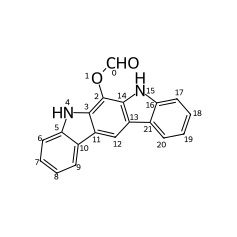 O=COc1c2[nH]c3ccccc3c2cc2c1[nH]c1ccccc12